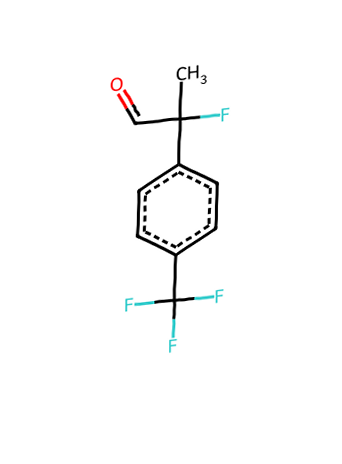 CC(F)(C=O)c1ccc(C(F)(F)F)cc1